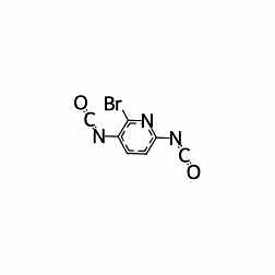 O=C=Nc1ccc(N=C=O)c(Br)n1